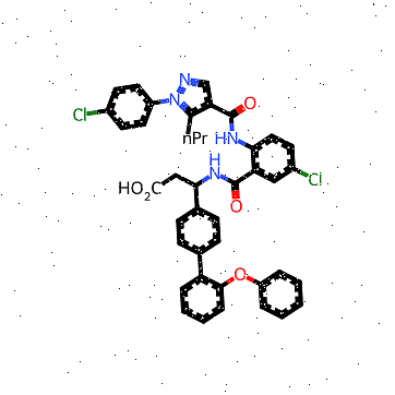 CCCc1c(C(=O)Nc2ccc(Cl)cc2C(=O)NC(CC(=O)O)c2ccc(-c3ccccc3Oc3ccccc3)cc2)cnn1-c1ccc(Cl)cc1